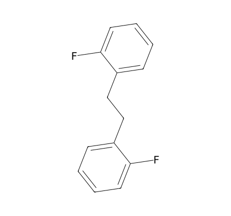 Fc1ccccc1CCc1ccccc1F